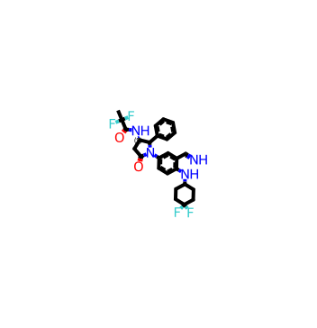 CC(F)(F)C(=O)N[C@H]1CC(=O)N(c2ccc(NC3CCC(F)(F)CC3)c(C=N)c2)C1c1ccccc1